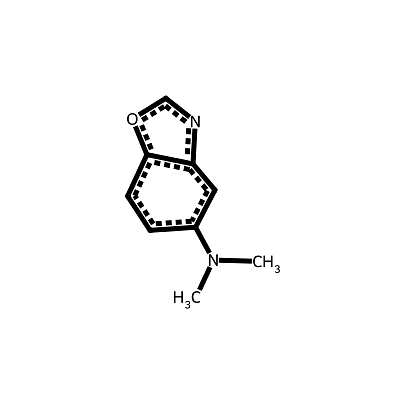 CN(C)c1ccc2ocnc2c1